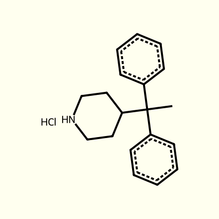 CC(c1ccccc1)(c1ccccc1)C1CCNCC1.Cl